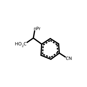 CCCC(C(=O)O)c1ccc(C#N)cc1